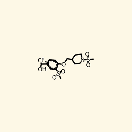 CS(=O)(=O)c1cc(C(O)C(F)(F)F)ccc1OCC1CCN(S(C)(=O)=O)CC1